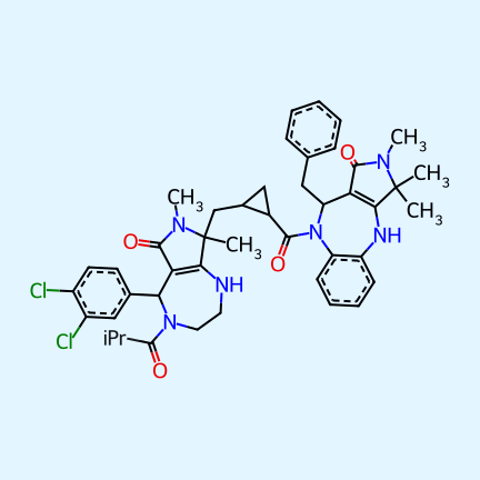 CC(C)C(=O)N1CCNC2=C(C(=O)N(C)C2(C)CC2CC2C(=O)N2c3ccccc3NC3=C(C(=O)N(C)C3(C)C)C2Cc2ccccc2)C1c1ccc(Cl)c(Cl)c1